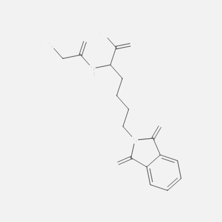 NCC(=O)NC(CCCCN1C(=O)c2ccccc2C1=O)C(=O)O